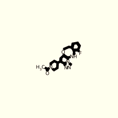 CC(=O)N1CCC(c2cc3c(n4cnnc24)NCc2c(F)cccc2CCO3)CC1